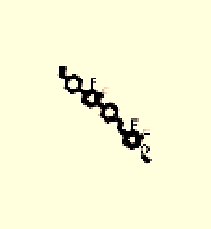 C=CC1CCC(c2ccc(C3CCC(/C=C/c4ccc(OCC)c(F)c4F)CC3)c(F)c2F)CC1